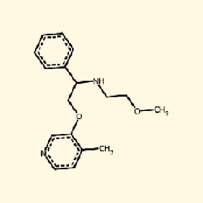 COCCNC(COc1cnccc1C)c1ccccc1